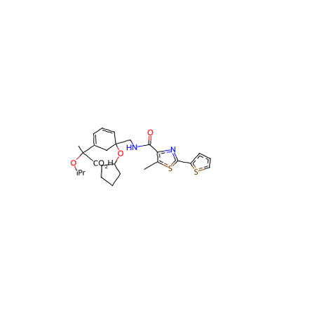 Cc1sc(-c2cccs2)nc1C(=O)NCC1(OC2CCCC2)C=CC=C(C(C)(OC(C)C)C(=O)O)C1